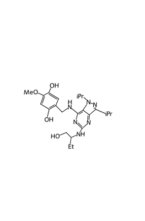 CCC(CO)Nc1nc(NCc2cc(O)c(OC)cc2O)c2c(n1)c(C(C)C)nn2C(C)C